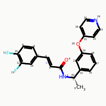 C[C@H](NC(=O)/C=C/c1ccc(F)c(F)c1)c1cccc(Oc2ccncc2)c1